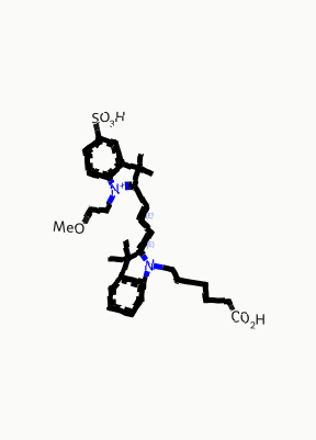 COCC[N+]1=C(/C=C/C=C2/N(CCCCCC(=O)O)c3ccccc3C2(C)C)C(C)(C)c2cc(S(=O)(=O)O)ccc21